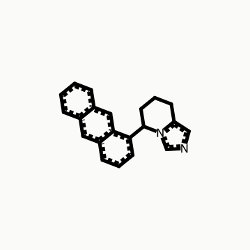 c1ccc2cc3c(C4CCCc5cncn54)cccc3cc2c1